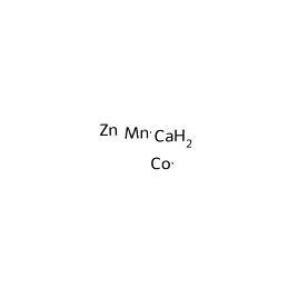 [CaH2].[Co].[Mn].[Zn]